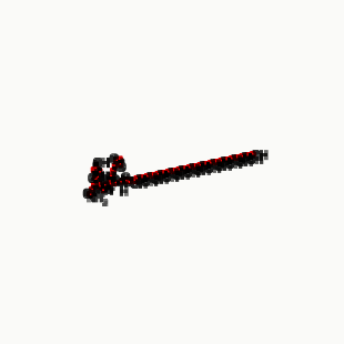 CC(C)[C@H](NC(=O)[C@H](CCCCNC(=O)OCC(O)COCC(O)COCC(O)COCC(O)COCC(O)COCC(O)COCC(O)COCC(O)COCC(O)COCC(O)COCC(O)COCC(O)CO)NC(=O)CCCCCN1C(=O)C=CC1=O)C(=O)N[C@@H](CCCNC(N)=O)C(=O)Nc1ccc(CO)cc1